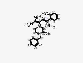 NC(N)=C(/C=C(\N)c1ccccc1O)N1CCN(Cc2ccccc2)C(=O)C1